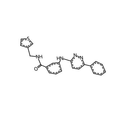 O=C(NCc1ccsc1)c1cccc(Nc2ccc(-c3ccccc3)nn2)c1